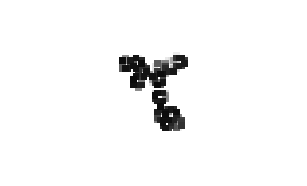 c1ccc2cc3c(cc2c1)oc1c(-c2cc4ccc5ccccc5c4c4ccccc24)cc(-c2ccc(-c4ccc5ccc6cccc7ccc4c5c67)cc2)cc13